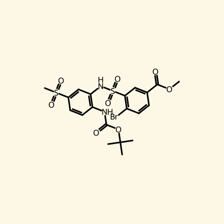 COC(=O)c1ccc(Br)c(S(=O)(=O)Nc2cc(S(C)(=O)=O)ccc2NC(=O)OC(C)(C)C)c1